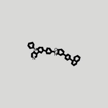 c1ccc(-n2c3ccncc3c3cc(-c4ccc(-c5nc6cc(-c7ccc(-c8cccc9ccccc89)cc7)ccc6o5)cc4)ccc32)cc1